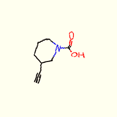 C#CC1CCCN(C(=O)O)C1